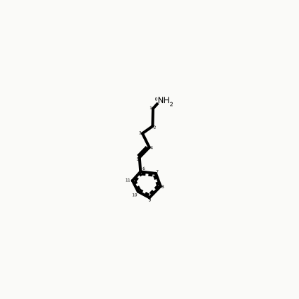 NCCC/C=C/c1ccccc1